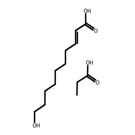 CCC(=O)O.O=C(O)C=CCCCCCCCO